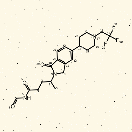 CC(CCC(=O)NC=O)N1Cc2cc(C3CCN(CC(F)(F)F)CC3)ccc2C1=O